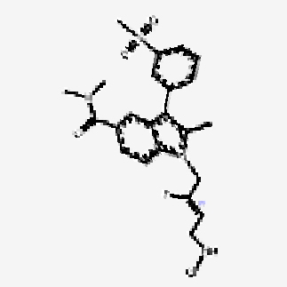 Cc1c(-c2cccc(S(C)(=O)=O)c2)c2cc(C(=O)N(C)C)ccc2n1C/C(F)=C/CNCl